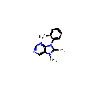 Cc1ccccc1N1c2ncncc2N(C)C1C